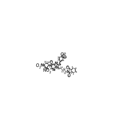 O=C1c2ccccc2C(=O)N1CCCCCn1c(Sc2ccc3c(c2)OCO3)nc2c(=O)n(-c3ccc([N+](=O)[O-])cc3[N+](=O)[O-])cnc21